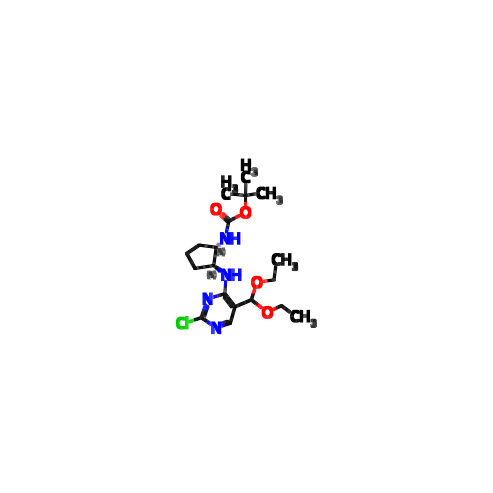 CCOC(OCC)c1cnc(Cl)nc1N[C@H]1CCC[C@@H]1NC(=O)OC(C)(C)C